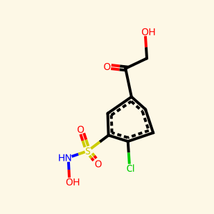 O=C(CO)c1ccc(Cl)c(S(=O)(=O)NO)c1